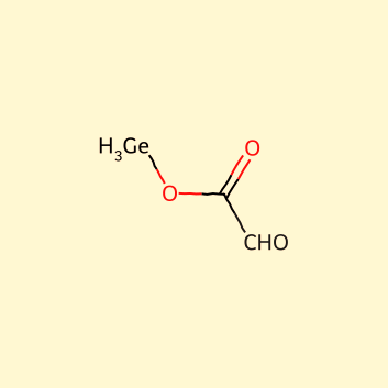 O=CC(=O)[O][GeH3]